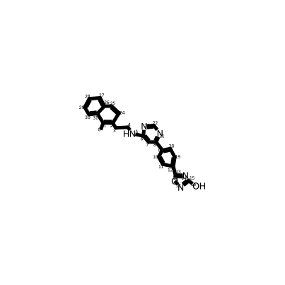 Cc1c(CCNc2cc(-c3ccc(-c4nc(O)no4)cc3)ncn2)ccc2ccccc12